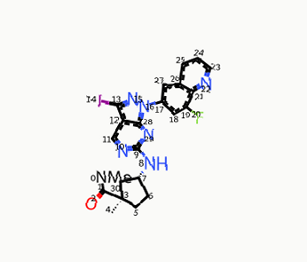 CNC(=O)[C@]1(C)CC[C@@H](Nc2ncc3c(I)nn(-c4cc(F)c5ncccc5c4)c3n2)C1